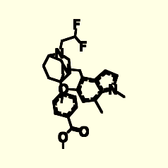 COC(=O)c1ccc(C23CCC(CN2Cc2c(OC)cc(C)c4c2ccn4C)N(CC(F)F)CC3)cc1